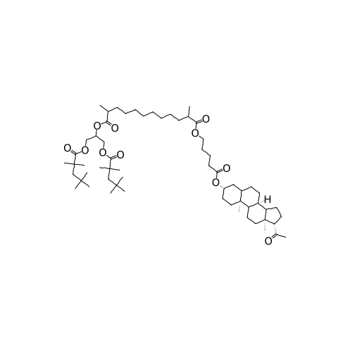 CC(=O)[C@H]1CCC2[C@@H]3CCC4C[C@@H](OC(=O)CCCCOC(=O)C(C)CCCCCCCCC(C)C(=O)OC(COC(=O)C(C)(C)CC(C)(C)C)COC(=O)C(C)(C)CC(C)(C)C)CC[C@]4(C)C3CC[C@@]21C